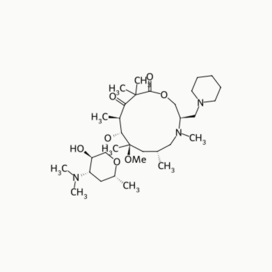 CO[C@]1(C)C[C@@H](C)CN(C)[C@H](CN2CCCCC2)COC(=O)C(C)(C)C(=O)[C@H](C)[C@H]1O[C@@H]1O[C@H](C)C[C@H](N(C)C)[C@H]1O